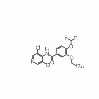 CCC(C)COc1cc(C(=O)Nc2c(Cl)cncc2Cl)ccc1OC(F)F